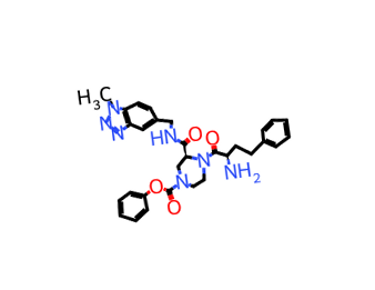 Cn1nnc2cc(CNC(=O)[C@@H]3CN(C(=O)Oc4ccccc4)CCN3C(=O)[C@H](N)CCc3ccccc3)ccc21